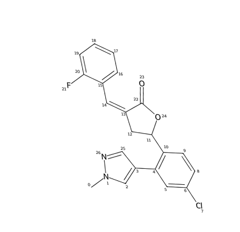 Cn1cc(-c2cc(Cl)ccc2C2CC(=Cc3ccccc3F)C(=O)O2)cn1